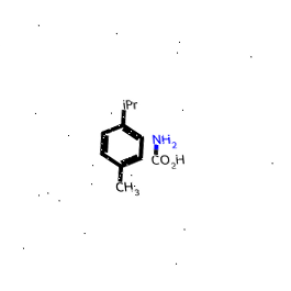 Cc1ccc(C(C)C)cc1.NC(=O)O